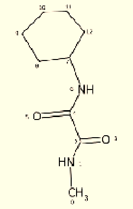 CNC(=O)C(=O)NC1CCCCC1